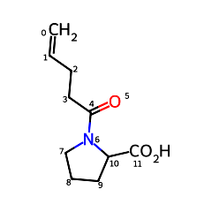 C=CCCC(=O)N1CCCC1C(=O)O